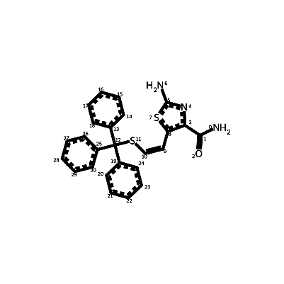 NC(=O)c1nc(N)sc1/C=C\SC(c1ccccc1)(c1ccccc1)c1ccccc1